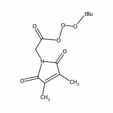 CC1=C(C)C(=O)N(CC(=O)OOOC(C)(C)C)C1=O